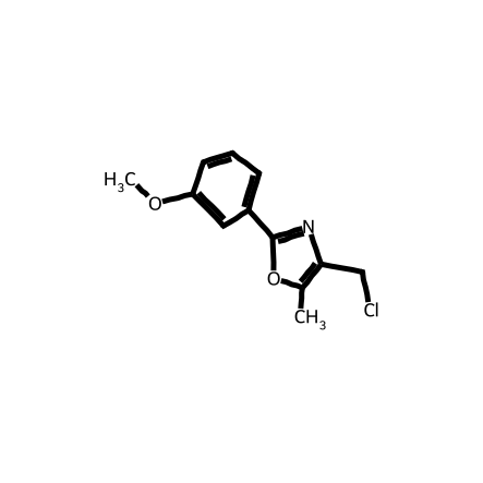 COc1cccc(-c2nc(CCl)c(C)o2)c1